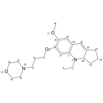 CCN1c2cc(OCCCN3CCOCC3)c(OC)cc2C=C2CCCC21